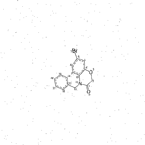 O=C1COc2cc(Br)ccc2N1Cc1ccccc1